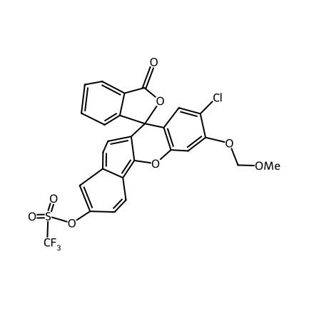 COCOc1cc2c(cc1Cl)C1(OC(=O)c3ccccc31)c1ccc3cc(OS(=O)(=O)C(F)(F)F)ccc3c1O2